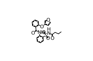 CCCC(=O)NS(=O)(=O)c1ccccc1NC(=O)c1ccccc1Oc1ccoc1